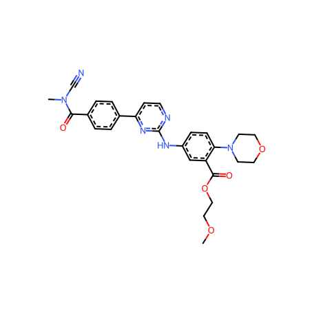 COCCOC(=O)c1cc(Nc2nccc(-c3ccc(C(=O)N(C)C#N)cc3)n2)ccc1N1CCOCC1